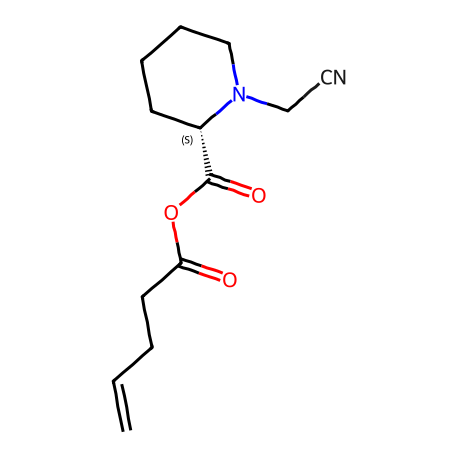 C=CCCC(=O)OC(=O)[C@@H]1CCCCN1CC#N